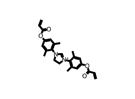 C=CC(=O)Oc1cc(C)c(N2C=[N+](c3c(C)cc(OC(=O)C=C)cc3C)CC2)c(C)c1